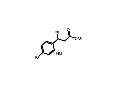 COC(=O)CC(N)c1ccc(O)cc1.Cl